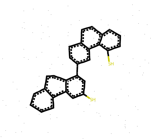 Sc1cc(-c2ccc3ccc4cccc(S)c4c3c2)c2ccc3ccccc3c2c1